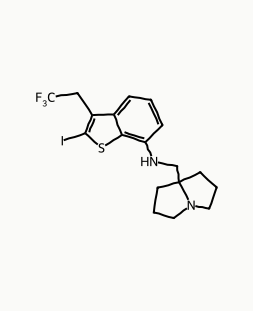 FC(F)(F)Cc1c(I)sc2c(NCC34CCCN3CCC4)cccc12